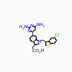 Nc1cc(-c2ccc3c(CC(=O)O)cn(Cc4csc5ccc(Cl)cc45)c3c2)nc(N)n1